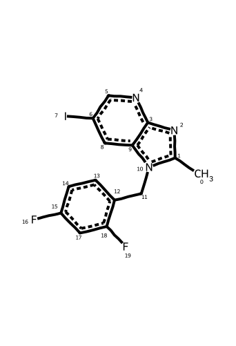 Cc1nc2ncc(I)cc2n1Cc1ccc(F)cc1F